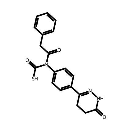 O=C1CCC(c2ccc(N(C(=O)S)C(=O)Cc3ccccc3)cc2)=NN1